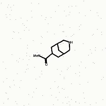 CNC(=O)C1CC2CNCC(C2)C1